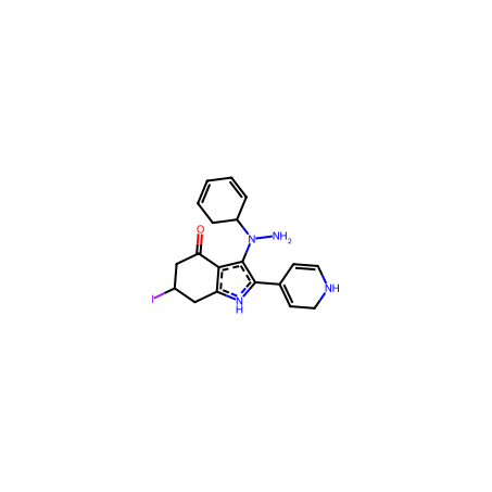 NN(c1c(C2=CCNC=C2)[nH]c2c1C(=O)CC(I)C2)C1C=CC=CC1